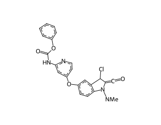 CNN1C(=C=O)C(Cl)c2cc(Oc3ccnc(NC(=O)Oc4ccccc4)c3)ccc21